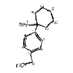 CCCC1(c2ccc(CO)cc2)CCCCC1